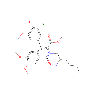 CCCCC(N)Cn1c(C(=O)OC)c(-c2cc(Br)c(OC)c(OC)c2)c2cc(OC)c(OC)cc2c1=O